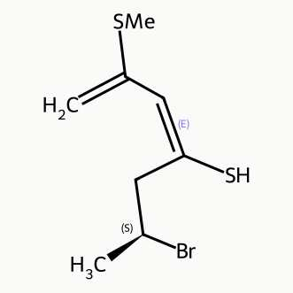 C=C(/C=C(/S)C[C@H](C)Br)SC